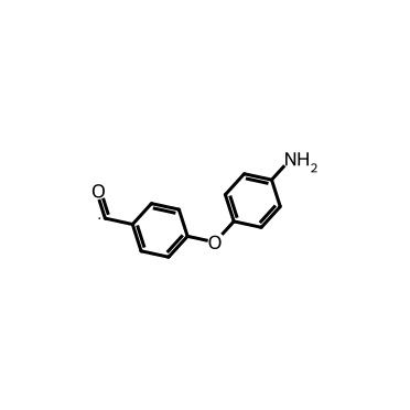 Nc1ccc(Oc2ccc([C]=O)cc2)cc1